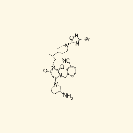 CC(C)c1noc(N2CCC(C(C)CCn3c(=O)cc(N4CCCC(N)C4)n(Cc4cccc(C#N)c4)c3=O)CC2)n1